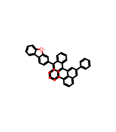 c1ccc(-c2cc(-c3c4ccccc4c(-c4ccc5c(c4)oc4ccccc45)c4ccccc34)c3c(-c4ccccc4)cccc3c2)cc1